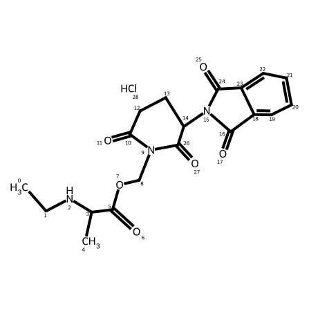 CCNC(C)C(=O)OCN1C(=O)CCC(N2C(=O)c3ccccc3C2=O)C1=O.Cl